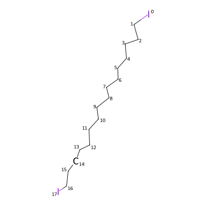 ICCCCCCCCCCCCCCCCI